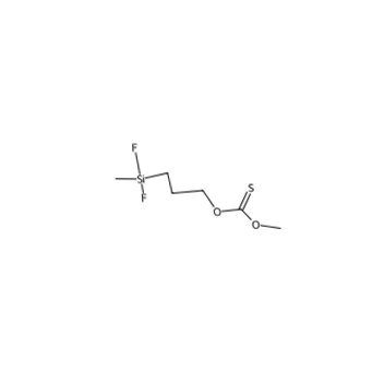 COC(=S)OCCC[Si](C)(F)F